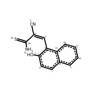 N#C/C(=C/c1c(O)ccc2ccccc12)C(N)=S